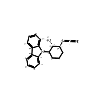 [N-]=[N+]=N[C@H]1CCCC(n2c3ccccc3c3ccccc32)[C@@H]1O